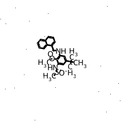 COc1c(NC(=O)c2cccc3ccccc23)cc(C(C)(C)C)cc1N[S+](C)[O-]